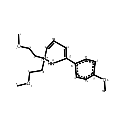 COCC[N+]1(CCOC)C=CC=C(c2ccc(OC)cc2)N1